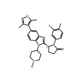 Cc1ccc(N2C(=O)CC[C@H]2c2nc3cc(-c4c(C)noc4C)ccc3n2C2CC[S+]([O-])CC2)cc1F